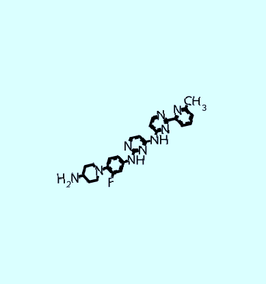 Cc1cccc(-c2nccc(Nc3ccnc(Nc4ccc(N5CCC(N)CC5)c(F)c4)n3)n2)n1